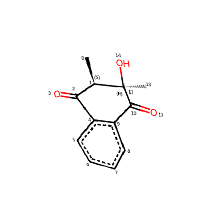 C[C@@H]1C(=O)c2ccccc2C(=O)[C@]1(C)O